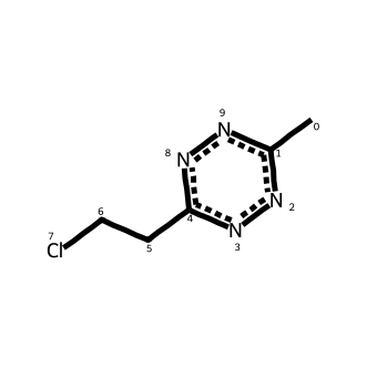 Cc1nnc(CCCl)nn1